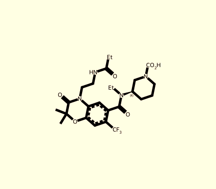 CCC(=O)NCCN1C(=O)C(C)(C)Oc2cc(C(F)(F)F)c(C(=O)N(CC)[C@@H]3CCCN(C(=O)O)C3)cc21